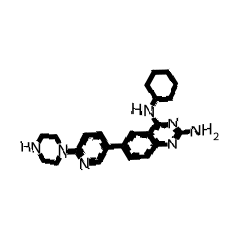 Nc1nc(NC2CCCCC2)c2cc(-c3ccc(N4CCNCC4)nc3)ccc2n1